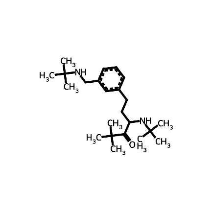 CC(C)(C)NCc1cccc(CCC(NC(C)(C)C)C(=O)C(C)(C)C)c1